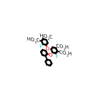 O=C(O)c1ccc(Oc2cccc(-c3ccccc3)c2Oc2ccc(C(=O)O)c(C(=O)O)c2F)c(F)c1C(=O)O